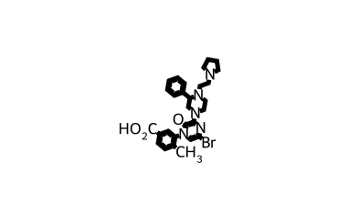 Cc1ccc(C(=O)O)cc1-n1cc(Br)nc(N2CCN(CCN3CCCC3)C(c3ccccc3)C2)c1=O